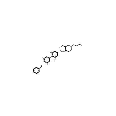 CCCCC1CC[C@@H]2C[C@H](c3cc(F)c(-c4cc(F)c(OCc5ccccc5)c(F)c4)c(F)c3)CC[C@@H]2C1